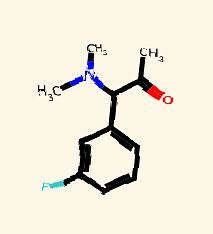 CC(=O)C(c1cccc(F)c1)N(C)C